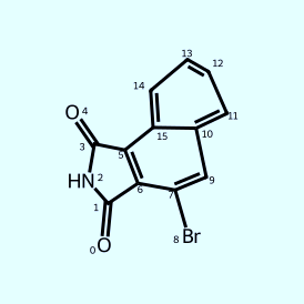 O=C1NC(=O)c2c1c(Br)cc1ccccc21